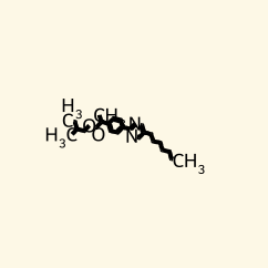 CCCCCCCc1cnc(-c2ccc(C(C)C(=O)OCC(C)CC)cc2)nc1